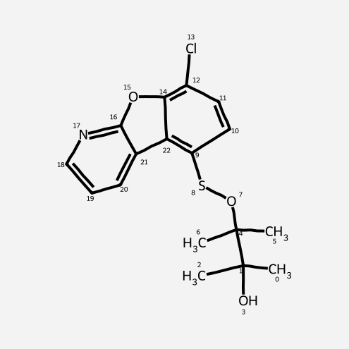 CC(C)(O)C(C)(C)OSc1ccc(Cl)c2oc3ncccc3c12